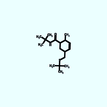 CC1C=CC(CSC(C)(C)C)CC1C(=O)NC(C)(C)C